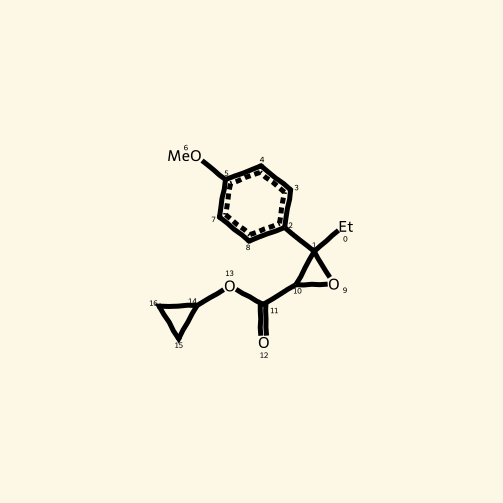 CCC1(c2ccc(OC)cc2)OC1C(=O)OC1CC1